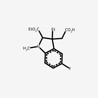 CCOC(=O)C1N(C)c2ccc(F)cc2C1(CC)CC(=O)O